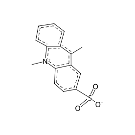 Cc1c2ccccc2[n+](C)c2ccc(S(=O)(=O)[O-])cc12